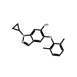 CCCc1cc2c(cnn2C2CC2)cc1Oc1c(C)cccc1C